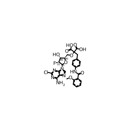 COc1ccccc1C(=O)Nc1ccc(CC(OC[C@H]2O[C@@H](n3cnc4c(N)nc(Cl)nc43)[C@@H](F)[C@@H]2O)(C(=O)O)C(=O)O)cc1